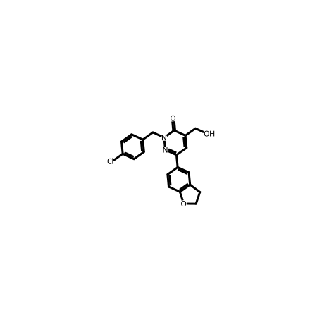 O=c1c(CO)cc(-c2ccc3c(c2)CCO3)nn1Cc1ccc(Cl)cc1